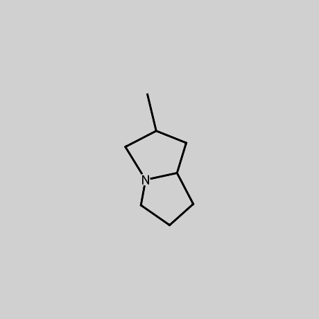 CC1CC2CCCN2C1